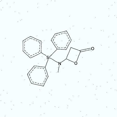 CN(C1CC(=O)O1)[Si](c1ccccc1)(c1ccccc1)c1ccccc1